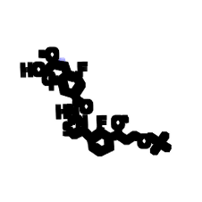 CO/C(=C/c1c(F)cc(C(=O)Nc2nc(-c3cccc(C(CCOCC(C)(C)C)OC)c3F)cs2)cc1F)C(=O)O